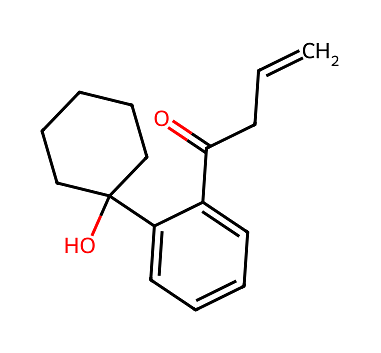 C=CCC(=O)c1ccccc1C1(O)CCCCC1